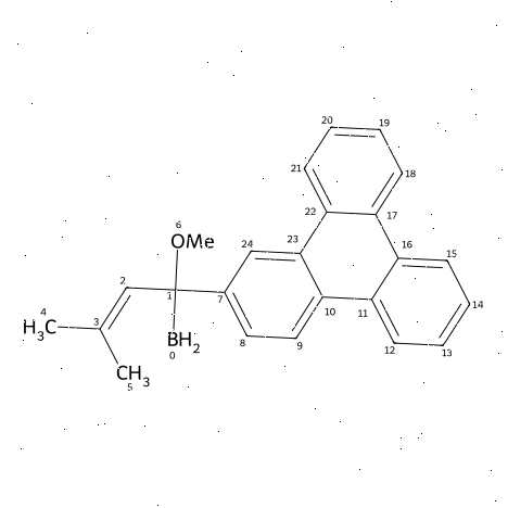 BC(C=C(C)C)(OC)c1ccc2c3ccccc3c3ccccc3c2c1